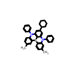 Cc1ccc2c(c1)B1c3ccc(C)cc3N(c3ccccc3)c3cc(C4CCCCC4)cc(c31)N2c1ccccc1